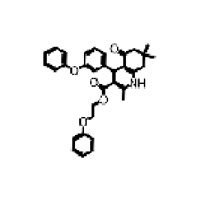 CC1=C(C(=O)OCCOc2ccccc2)C(c2cccc(Oc3ccccc3)c2)C2=C(CC(C)(C)CC2=O)N1